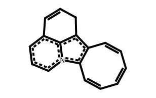 C1=CC=Cc2c(c3c4c(cccn24)C=CC3)C=C1